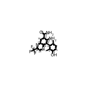 Cc1ccc(O)c(C)c1-c1c(N)c(C(N)=O)cc2nc(C(F)(F)F)cnc12